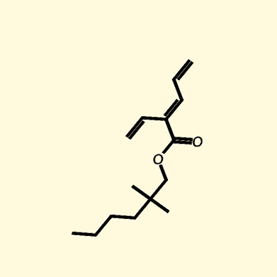 C=C/C=C(\C=C)C(=O)OCC(C)(C)CCCC